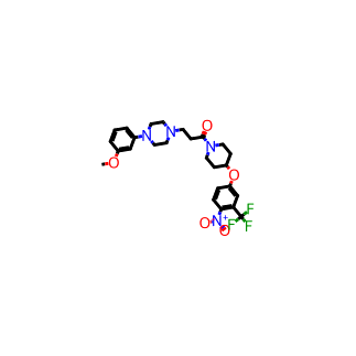 COc1cccc(N2CCN(CCC(=O)N3CCC(Oc4ccc([N+](=O)[O-])c(C(F)(F)F)c4)CC3)CC2)c1